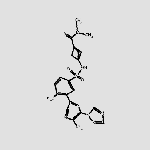 Cc1ccc(S(=O)(=O)NC23CC(C(=O)N(C)C)(C2)C3)cc1-c1cnc(N)c(-n2cncn2)n1